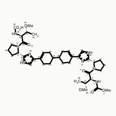 COC(=O)N[C@H](C(=O)N1CCC[C@H]1c1nc(C2=CCC(C3CC=C(c4c[nH]c([C@@H]5CCCN5C(=O)[C@@H](NC(=O)O)[C@@H](C)OC)n4)CC3)CC2)c[nH]1)[C@@H](C)OC